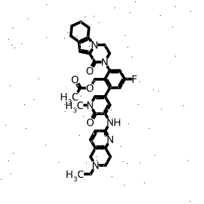 CCN1CCc2nc(Nc3cc(-c4cc(F)cc(N5CCn6c(cc7c6CCCC7)C5=O)c4COC(C)=O)cn(C)c3=O)ccc2C1